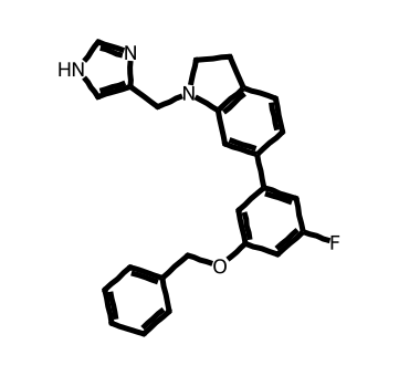 Fc1cc(OCc2ccccc2)cc(-c2ccc3c(c2)N(Cc2c[nH]cn2)CC3)c1